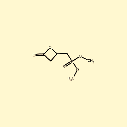 COP(=S)(CC1CC(=O)O1)OC